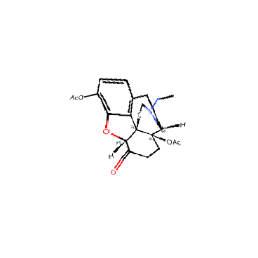 CC(=O)Oc1ccc2c3c1O[C@H]1C(=O)CC[C@@]4(OC(C)=O)[C@@H](C2)N(C)CC[C@]314